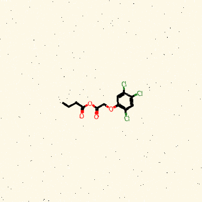 [CH2]CCC(=O)OC(=O)COc1cc(Cl)c(Cl)cc1Cl